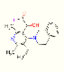 C=Cc1c(C)nc(C)c([C@H](O)C(=O)I)c1N1CCc2ccccc2C1